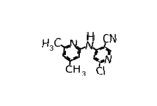 Cc1cc(C)nc(Nc2cc(Cl)ncc2C#N)c1